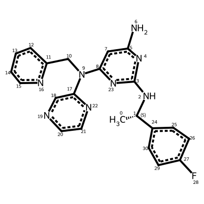 C[C@H](Nc1nc(N)cc(N(Cc2ccccn2)c2cnccn2)n1)c1ccc(F)cc1